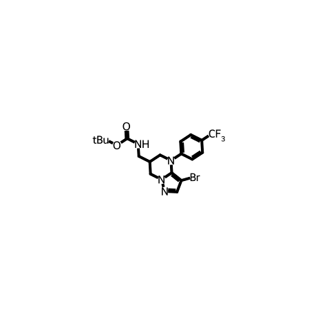 CC(C)(C)OC(=O)NCC1CN(c2ccc(C(F)(F)F)cc2)c2c(Br)cnn2C1